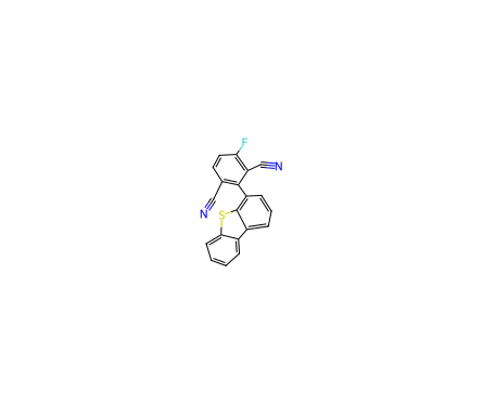 N#Cc1ccc(F)c(C#N)c1-c1cccc2c1sc1ccccc12